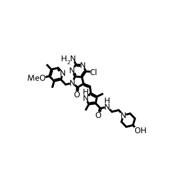 COc1c(C)cnc(CN2C(=O)C(=Cc3[nH]c(C)c(C(=O)NCCN4CCC(O)CC4)c3C)c3c(Cl)nc(N)nc32)c1C